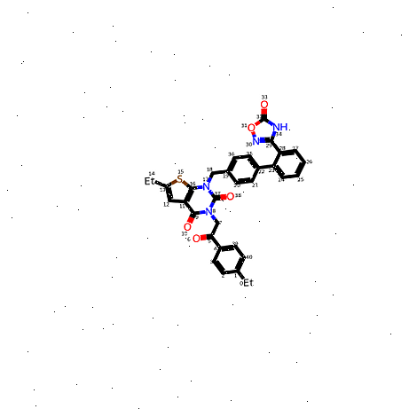 CCc1ccc(C(=O)Cn2c(=O)c3cc(CC)sc3n(Cc3ccc(-c4ccccc4-c4noc(=O)[nH]4)cc3)c2=O)cc1